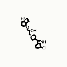 O[C@H](COc1cccc2[nH]ccc12)CN1CC=C(c2c[nH]c3c(Cl)cccc23)CC1